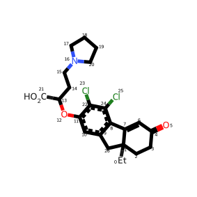 CCC12CCC(=O)C=C1c1c(cc(OC(CCN3CCCC3)C(=O)O)c(Cl)c1Cl)C2